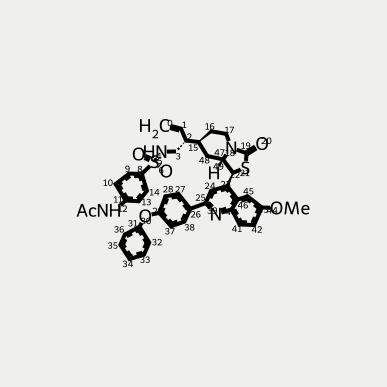 C=C[C@@H](CNS(=O)(=O)c1ccc(NC(C)=O)cc1)[C@H]1CCN2C(=O)S[C@@H](c3cc(-c4ccc(Oc5ccccc5)cc4)nc4ccc(OC)cc34)[C@@H]2C1